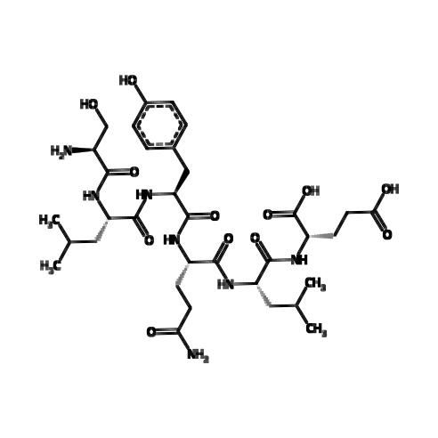 CC(C)C[C@H](NC(=O)[C@H](CCC(N)=O)NC(=O)[C@H](Cc1ccc(O)cc1)NC(=O)[C@H](CC(C)C)NC(=O)[C@@H](N)CO)C(=O)N[C@@H](CCC(=O)O)C(=O)O